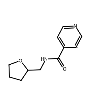 O=C(NCC1CCCO1)c1[c]cncc1